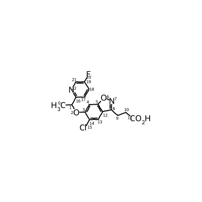 CC(Oc1cc2onc(CCC(=O)O)c2cc1Cl)c1ccc(F)cn1